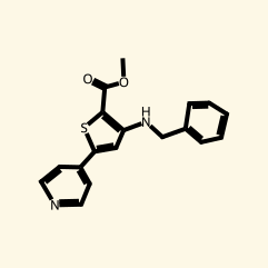 COC(=O)c1sc(-c2ccncc2)cc1NCc1ccccc1